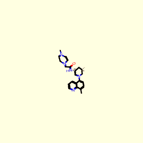 Cc1ccc(N2C[C@@H](C)C[C@@H](NC(=O)CN3CCN(C)CC3)C2)c2cccnc12